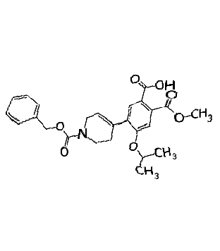 COC(=O)c1cc(OC(C)C)c(C2=CCN(C(=O)OCc3ccccc3)CC2)cc1C(=O)O